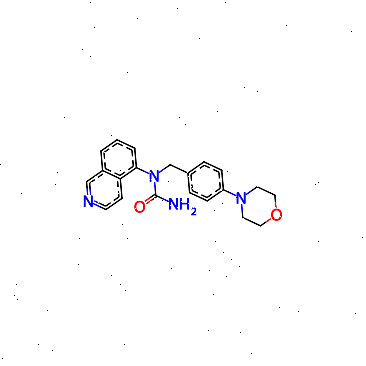 NC(=O)N(Cc1ccc(N2CCOCC2)cc1)c1cccc2cnccc12